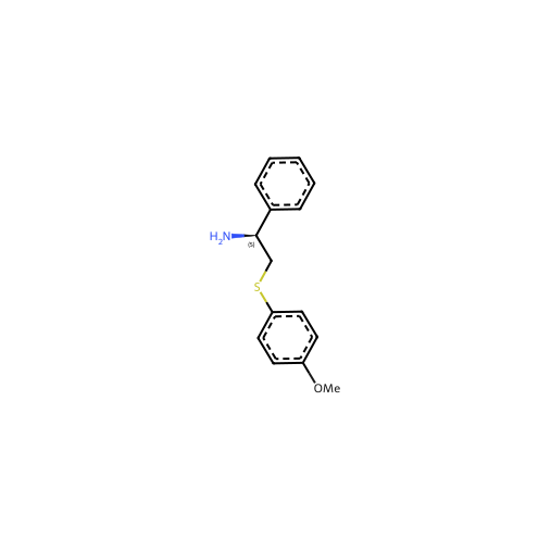 COc1ccc(SC[C@@H](N)c2ccccc2)cc1